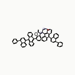 C=c1oc2c(-c3c4ccccc4c(-c4ccc(-c5ccccc5)c5ccccc45)c4ccccc34)cccc2/c1=C(/C=C\C)c1c2ccccc2c(-c2ccc(-c3ccccc3)c3ccccc23)c2ccccc12